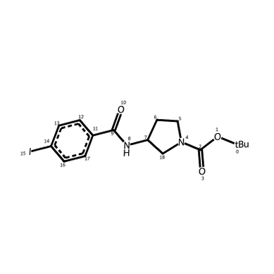 CC(C)(C)OC(=O)N1CCC(NC(=O)c2ccc(I)cc2)C1